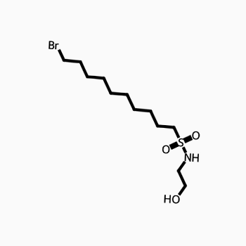 O=S(=O)(CCCCCCCCCCBr)NCCO